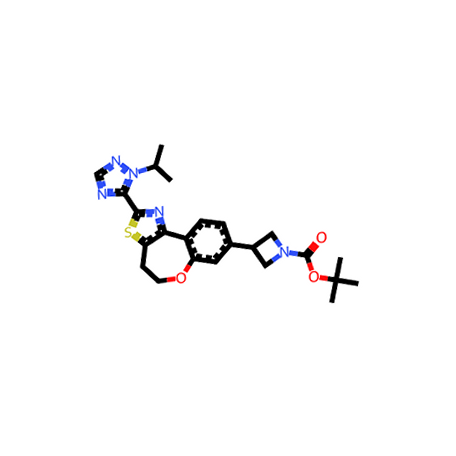 CC(C)n1ncnc1-c1nc2c(s1)CCOc1cc(C3CN(C(=O)OC(C)(C)C)C3)ccc1-2